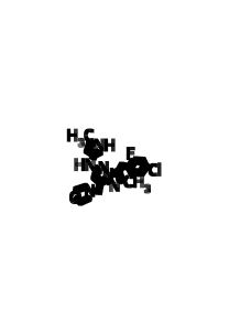 Cc1cc(Nc2cc(CN3CCOCC3)c3nc(C)c(Cc4ccc(Cl)cc4F)n3n2)c[nH]1